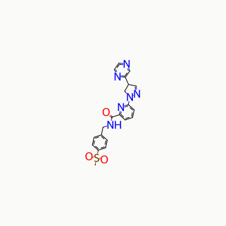 CS(=O)(=O)c1ccc(CNC(=O)c2cccc(N3CC(c4cnccn4)C=N3)n2)cc1